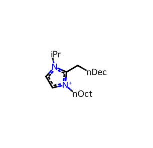 CCCCCCCCCCCc1n(C(C)C)cc[n+]1CCCCCCCC